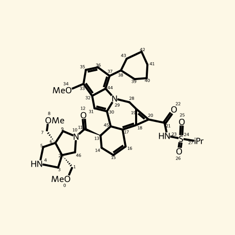 COC[C@]12CNC[C@@]1(COC)CN(C(=O)[C@@H]1CC=CC3=C4C(=C4C(=O)NS(=O)(=O)C(C)C)Cn4c(cc5c(OC)ccc(C6CCCCC6)c54)C31)C2